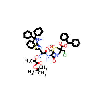 C=C(ON=C(C(=O)NC1C(=O)N2CC(CCl)(C(=O)OC(c3ccccc3)c3ccccc3)C[S+]([O-])[C@H]12)c1csc(NC(c2ccccc2)(c2ccccc2)c2ccccc2)n1)C(=O)OC(C)(C)C